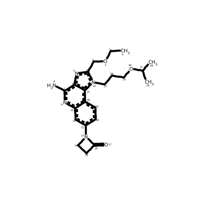 CCOCc1nc2c(N)nc3cc(N4CCC4=O)ccc3c2n1CCCOC(C)C